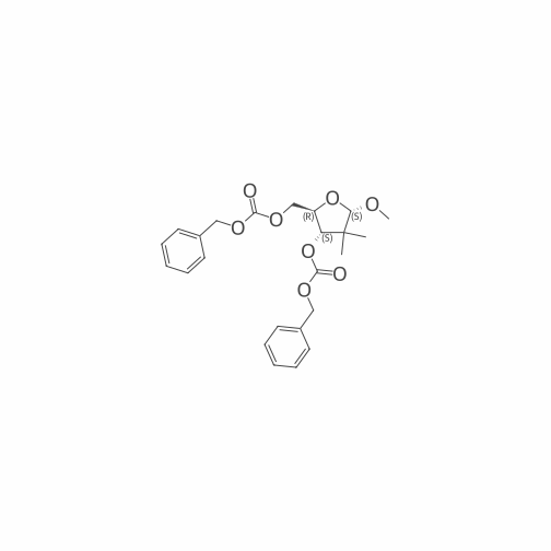 CO[C@H]1O[C@H](COC(=O)OCc2ccccc2)[C@@H](OC(=O)OCc2ccccc2)C1(C)C